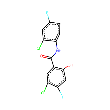 O=C(Nc1ccc(F)cc1Cl)c1cc(Cl)c(F)cc1O